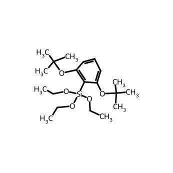 CCO[Si](OCC)(OCC)c1c(OC(C)(C)C)cccc1OC(C)(C)C